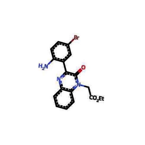 CCOC(=O)Cn1c(=O)c(-c2cc(Br)ccc2N)nc2ccccc21